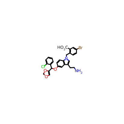 NCCc1cn(Cc2ccc(Br)cc2C(=O)O)c2ccc(OC(C3=COCO3)c3ccccc3Cl)cc12